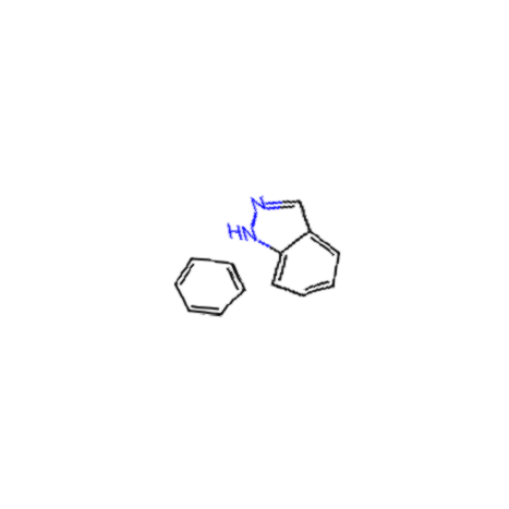 c1ccc2[nH]ncc2c1.c1ccccc1